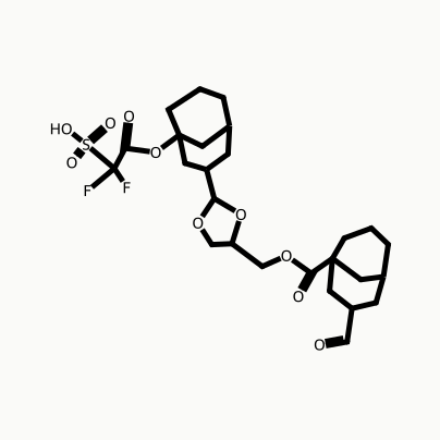 O=CC1CC2CCCC(C(=O)OCC3COC(C4CC5CCCC(OC(=O)C(F)(F)S(=O)(=O)O)(C5)C4)O3)(C1)C2